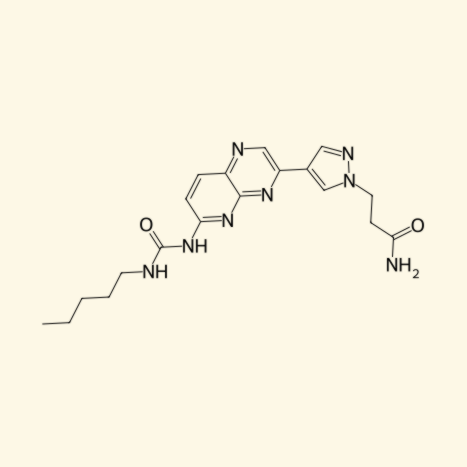 CCCCCNC(=O)Nc1ccc2ncc(-c3cnn(CCC(N)=O)c3)nc2n1